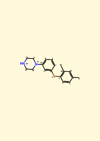 Cc1ccc(Sc2cccc(N3CCNCC3)c2)c(C)c1